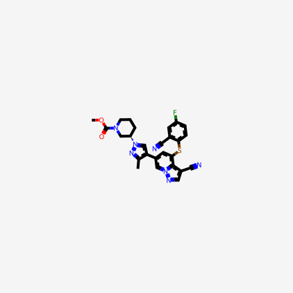 COC(=O)N1CCC[C@H](n2cc(-c3cc(Sc4ccc(F)cc4C#N)c4c(C#N)cnn4c3)c(C)n2)C1